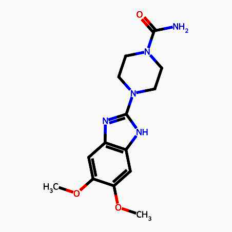 COc1cc2nc(N3CCN(C(N)=O)CC3)[nH]c2cc1OC